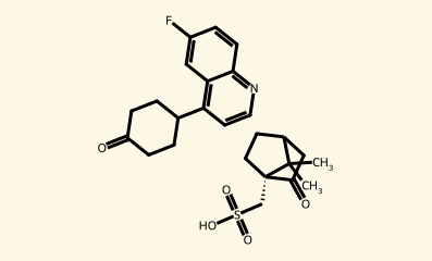 CC1(C)C2CC[C@]1(CS(=O)(=O)O)C(=O)C2.O=C1CCC(c2ccnc3ccc(F)cc23)CC1